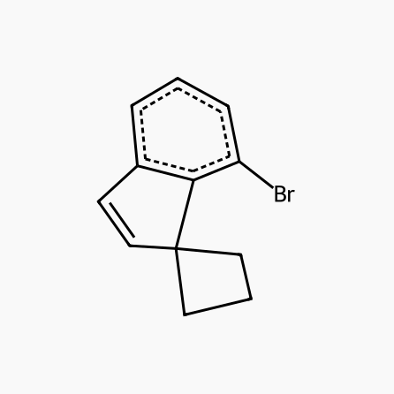 Brc1cccc2c1C1(C=C2)CCC1